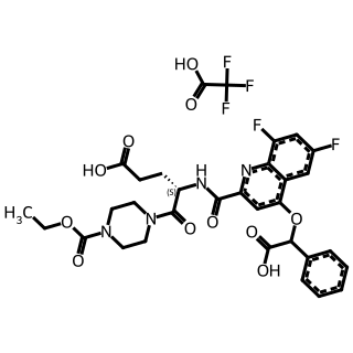 CCOC(=O)N1CCN(C(=O)[C@H](CCC(=O)O)NC(=O)c2cc(OC(C(=O)O)c3ccccc3)c3cc(F)cc(F)c3n2)CC1.O=C(O)C(F)(F)F